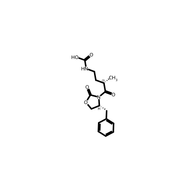 C[C@@H](CCNC(=O)O)C(=O)N1C(=O)OC[C@H]1Cc1ccccc1